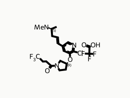 CN[C@@H](C)CC=Cc1cnc(Cl)c(O[C@@H]2CCN(C(=O)CCC(F)(F)F)C2)c1.O=C(O)C(F)(F)F